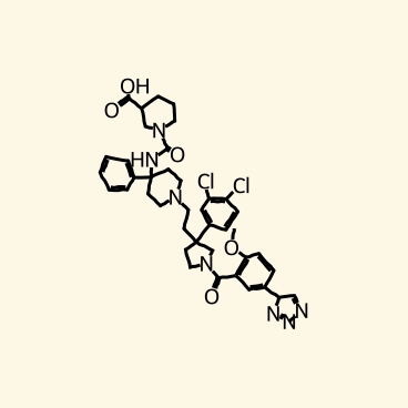 COc1ccc(C2C=NN=N2)cc1C(=O)N1CCC(CCN2CCC(NC(=O)N3CCCC(C(=O)O)C3)(c3ccccc3)CC2)(c2ccc(Cl)c(Cl)c2)C1